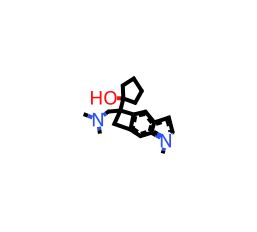 CN(C)CC1(C2(O)CCCC2)Cc2cc3c(ccn3C)cc21